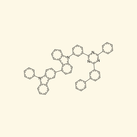 c1ccc(-c2cccc(-c3nc(-c4ccccc4)nc(-c4cccc(-n5c6ccccc6c6c(-c7ccc8c(c7)c7ccccc7n8-c7ccccc7)cccc65)c4)n3)c2)cc1